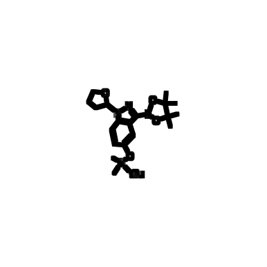 CC1(C)OB(c2nn(C3CCCO3)c3ccc(O[Si](C)(C)C(C)(C)C)cc23)OC1(C)C